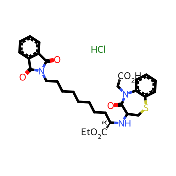 CCOC(=O)[C@@H](CCCCCCCCN1C(=O)c2ccccc2C1=O)NC1CSc2ccccc2N(CC(=O)O)C1=O.Cl